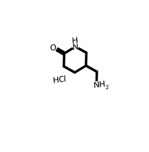 Cl.NCC1CCC(=O)NC1